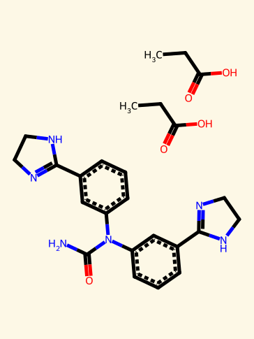 CCC(=O)O.CCC(=O)O.NC(=O)N(c1cccc(C2=NCCN2)c1)c1cccc(C2=NCCN2)c1